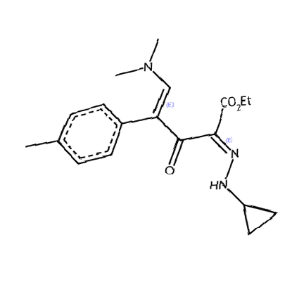 CCOC(=O)/C(=N/NC1CC1)C(=O)/C(=C/N(C)C)c1ccc(C)cc1